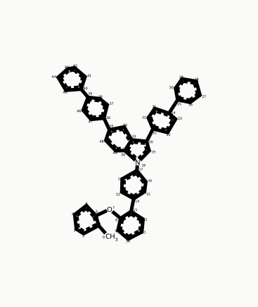 Cc1ccccc1Oc1ccccc1-c1ccc(-n2cc(-c3ccc(-c4ccccc4)cc3)c3cc(-c4ccc(-c5ccccc5)cc4)ccc32)cc1